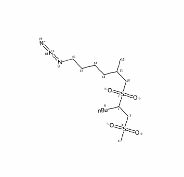 CCCCC(CS(C)(=O)=O)S(=O)(=O)CC(C)CCCCN=[N+]=[N-]